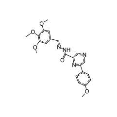 COc1ccc(-c2cncc(C(=O)NN=Cc3cc(OC)c(OC)c(OC)c3)n2)cc1